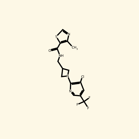 Cc1ncsc1C(=O)NCC1CN(c2ncc(C(F)(F)F)cc2Cl)C1